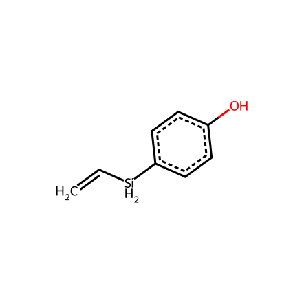 C=C[SiH2]c1ccc(O)cc1